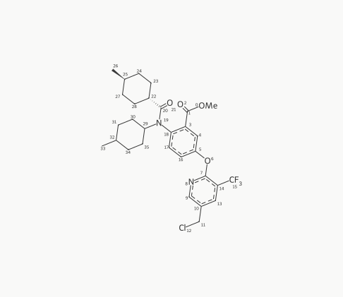 COC(=O)c1cc(Oc2ncc(CCl)cc2C(F)(F)F)ccc1N(C(=O)[C@H]1CC[C@H](C)CC1)C1CCC(C)CC1